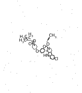 CC#CCOC(=O)N1CCc2c([nH]c3ccc(Cl)cc23)[C@@H]1c1ccc(OC2CCN(S(=O)(=O)CCS(C)(C)C)CC2)cc1